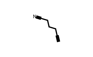 C#CCCCC#N